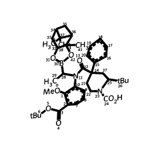 COc1c(C(=O)OC(C)(C)C)cccc1N(C(=O)C1(c2ccccc2)CCN(C(=O)O)C(C(C)(C)C)C1)C(C)B1OC2CC3CC(C3(C)C)C2(C)O1